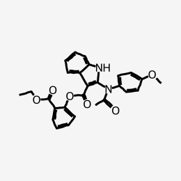 CCOC(=O)c1ccccc1OC(=O)c1c(N(C(C)=O)c2ccc(OC)cc2)[nH]c2ccccc12